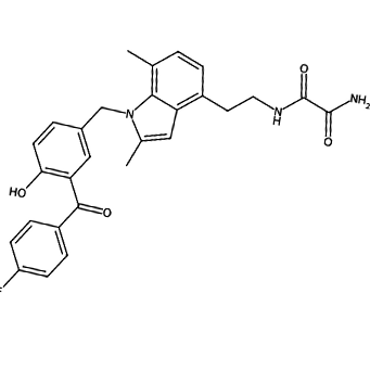 Cc1ccc(CCNC(=O)C(N)=O)c2cc(C)n(Cc3ccc(O)c(C(=O)c4ccc(F)cc4)c3)c12